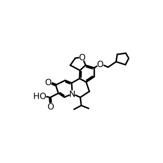 CC(C)C1Cc2cc(OCC3CCCC3)c3c(c2-c2cc(=O)c(C(=O)O)cn21)CCO3